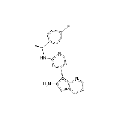 C[C@H](Nc1cc(-c2c(N)nn3cccnc23)ncn1)c1ccc(F)cc1